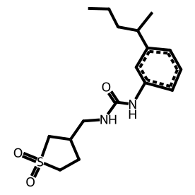 CCCC(C)c1cccc(NC(=O)NCC2CCS(=O)(=O)C2)c1